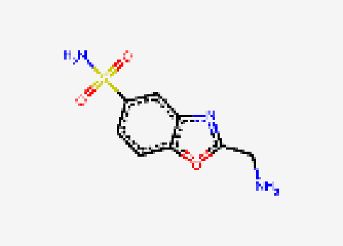 NCc1nc2cc(S(N)(=O)=O)ccc2o1